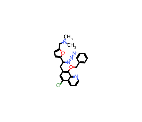 CN(C)Cc1ccc(C(Cc2cc(Cl)c3cccnc3c2OCc2ccccc2)N=[N+]=[N-])o1